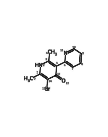 Cc1[nH]c(C)c(-c2ccccn2)c(=O)c1Br